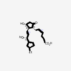 CCC1CCC([C@H](O)/C=C/[C@H]2[C@H](O)CC(=O)[C@@H]2C/C=C\CCCC(=O)O)C1